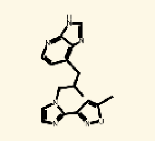 Cc1cc(-c2nccn2CC(C)Cc2ccnc3[nH]cnc23)no1